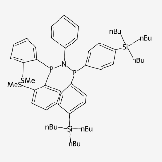 CCCC[Si](CCCC)(CCCC)c1ccc(P(c2ccc([Si](CCCC)(CCCC)CCCC)cc2)N(c2ccccc2)P(c2ccccc2SC)c2ccccc2SC)cc1